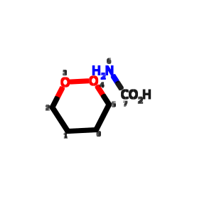 C1CCOOC1.NC(=O)O